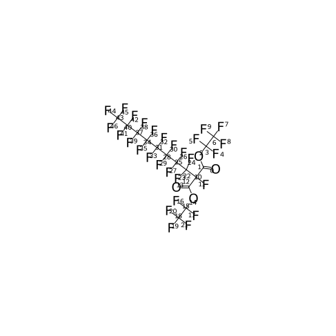 O=C(OC(F)(F)C(F)(F)F)C(F)(C(=O)OC(F)(F)C(F)(F)F)C(F)(F)C(F)(F)C(F)(F)C(F)(F)C(F)(F)C(F)(F)C(F)(F)C(F)(F)F